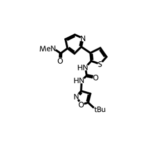 CNC(=O)c1ccnc(-c2ccsc2NC(=O)Nc2cc(C(C)(C)C)on2)c1